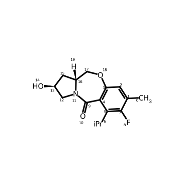 Cc1cc2c(c(C(C)C)c1F)C(=O)N1C[C@@H](O)C[C@@H]1CO2